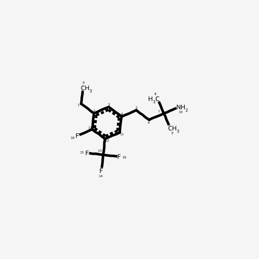 CCc1cc(CCC(C)(C)N)cc(C(F)(F)F)c1F